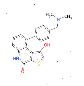 CN(C)Cc1ccc(-c2cccc3[nH]c(=O)c4scc(O)c4c23)cc1